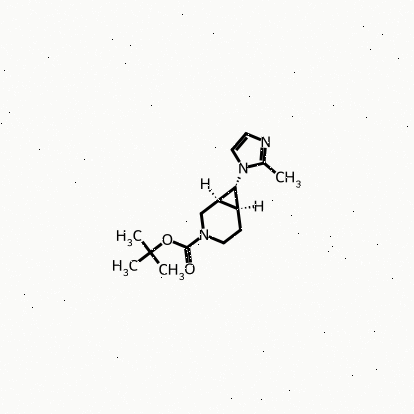 Cc1nccn1[C@H]1[C@@H]2CN(C(=O)OC(C)(C)C)CC[C@@H]21